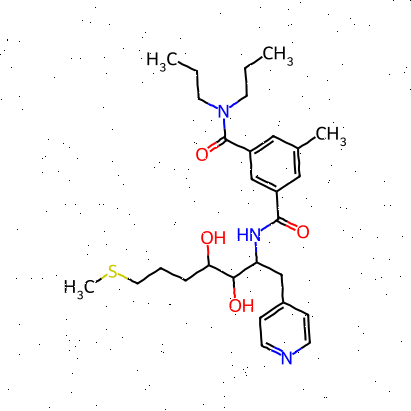 CCCN(CCC)C(=O)c1cc(C)cc(C(=O)NC(Cc2ccncc2)C(O)C(O)CCCSC)c1